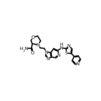 NC(=O)C1COCCN1CCn1cnc2cnc(Nc3ncc(-c4ccncc4)s3)cc21